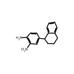 Nc1ccc(C2CCCc3ccccc32)cc1[N+](=O)[O-]